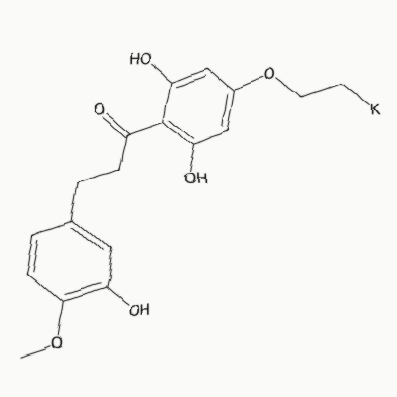 COc1ccc(CCC(=O)c2c(O)cc(OC[CH2][K])cc2O)cc1O